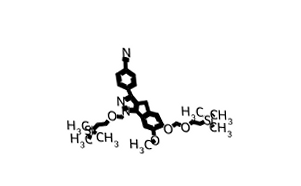 COc1cc2c(cc1OCOCC[Si](C)(C)C)Cc1c(-c3ccc(C#N)cc3)nn(COCC[Si](C)(C)C)c1-2